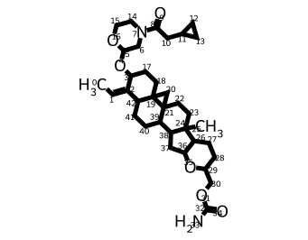 C/C=C1\C(OC2CN(C(=O)CC3CC3)CCO2)CCC23CC24CCC2(C)C5CCC(COC(N)=O)OC5CC2C4CCC13